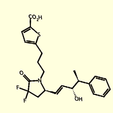 C[C@@H](c1ccccc1)[C@H](O)C=C[C@H]1CC(F)(F)C(=O)N1CCCc1ccc(C(=O)O)s1